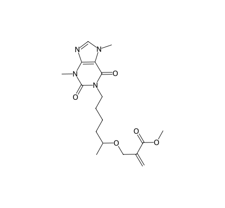 C=C(COC(C)CCCCn1c(=O)c2c(ncn2C)n(C)c1=O)C(=O)OC